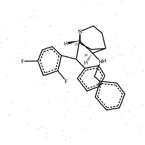 Fc1ccc(C(c2ccccc2)[C@H]2[C@H](NCc3ccccc3)C3CCN2CC3)c(F)c1